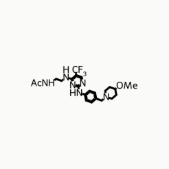 COC1CCN(Cc2ccc(Nc3ncc(C(F)(F)F)c(NCCNC(C)=O)n3)cc2)CC1